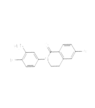 Nc1cc(N2CCc3cc(Br)ccc3C2=O)ccc1O